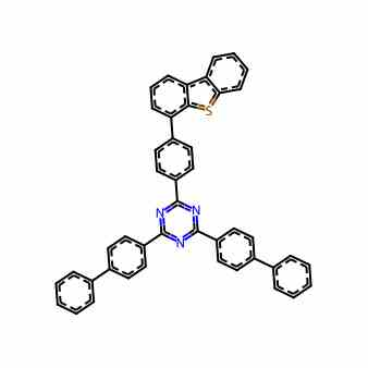 c1ccc(-c2ccc(-c3nc(-c4ccc(-c5ccccc5)cc4)nc(-c4ccc(-c5cccc6c5sc5ccccc56)cc4)n3)cc2)cc1